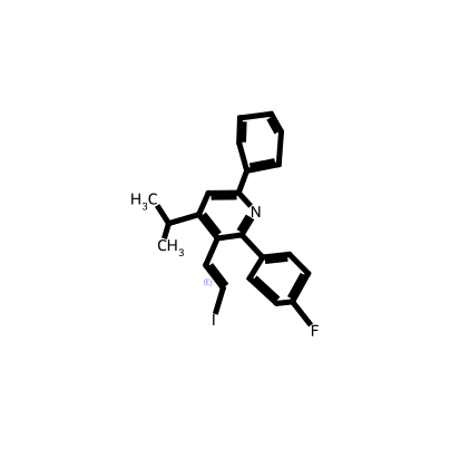 CC(C)c1cc(-c2ccccc2)nc(-c2ccc(F)cc2)c1/C=C/I